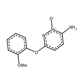 COc1ccccc1Oc1ccc(N)[n+]([O-])n1